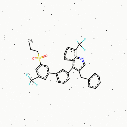 CCCS(=O)(=O)c1cc(-c2cccc(-c3c(Cc4ccccc4)cnc4c(C(F)(F)F)cccc34)c2)cc(C(F)(F)F)c1